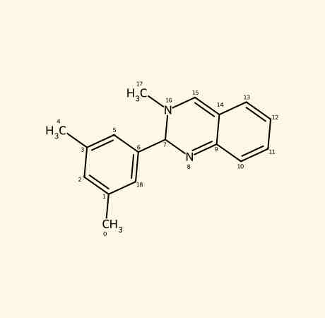 Cc1cc(C)cc(C2N=c3ccccc3=CN2C)c1